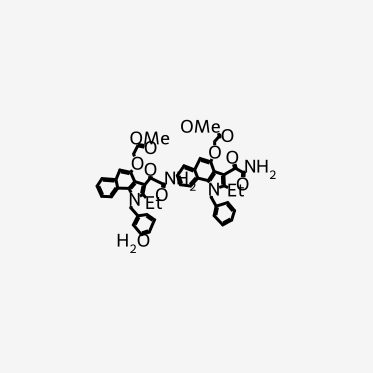 CCc1c(C(=O)C(N)=O)c2c(OCC(=O)OC)cc3ccccc3c2n1Cc1ccccc1.CCc1c(C(=O)C(N)=O)c2c(OCC(=O)OC)cc3ccccc3c2n1Cc1ccccc1.O